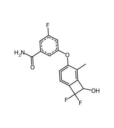 CC1=C2C(=C=C=C1Oc1cc(F)cc(C(N)=O)c1)C(F)(F)C2O